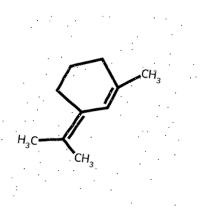 CC1=CC(=C(C)C)CCC1